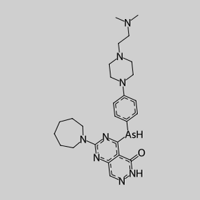 CN(C)CCN1CCN(c2ccc([AsH]c3nc(N4CCCCCC4)nc4cn[nH]c(=O)c34)cc2)CC1